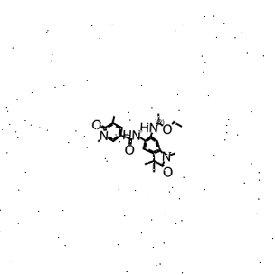 CCO[C@H](C)Nc1cc2c(cc1NC(=O)c1cc(C)c(=O)n(C)c1)C(C)(C)C(=O)N2C